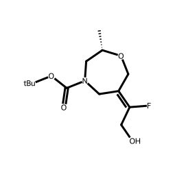 C[C@H]1CN(C(=O)OC(C)(C)C)C/C(=C(/F)CO)CO1